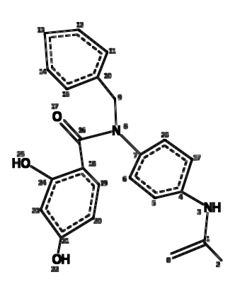 C=C(C)Nc1ccc(N(Cc2ccccc2)C(=O)c2ccc(O)cc2O)cc1